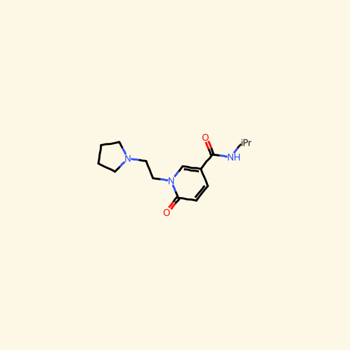 CC(C)NC(=O)c1ccc(=O)n(CCN2CCCC2)c1